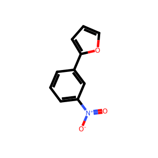 O=[N+]([O-])c1cccc(-c2ccco2)c1